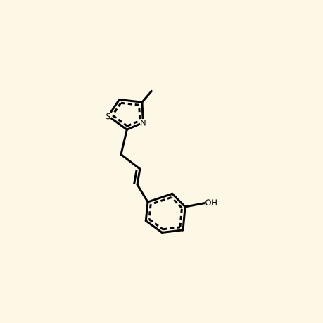 Cc1csc(CC=Cc2cccc(O)c2)n1